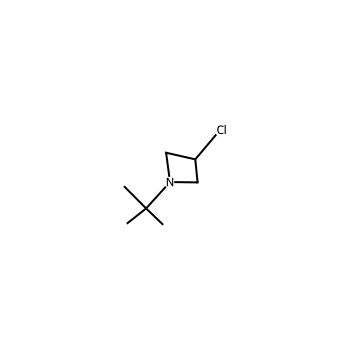 CC(C)(C)N1CC(Cl)C1